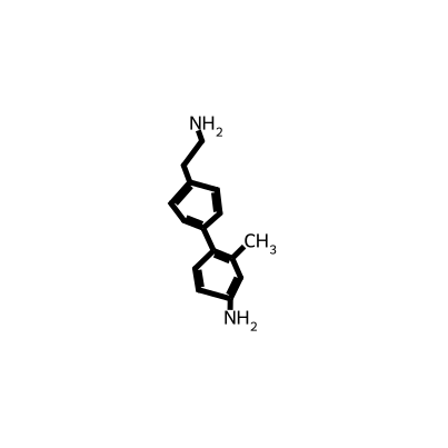 Cc1cc(N)ccc1-c1ccc(CCN)cc1